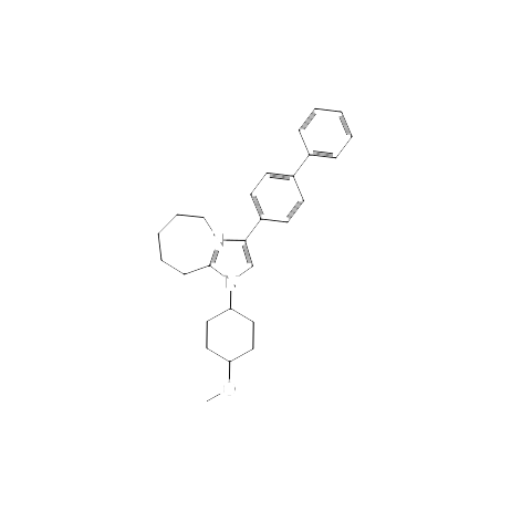 COC1CCC(n2cc(-c3ccc(-c4ccccc4)cc3)[n+]3c2CCCCC3)CC1